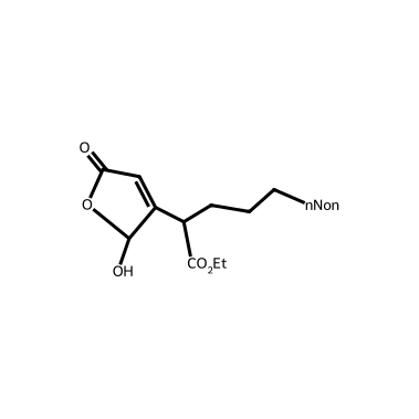 CCCCCCCCCCCCC(C(=O)OCC)C1=CC(=O)OC1O